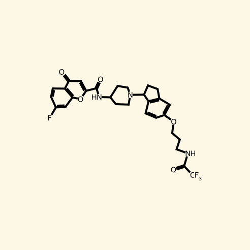 O=C(NC1CCN(C2CCc3cc(OCCCNC(=O)C(F)(F)F)ccc32)CC1)c1cc(=O)c2ccc(F)cc2o1